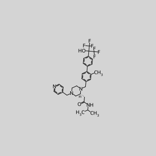 Cc1cc(CN2CCN(Cc3ccncc3)C[C@H]2CC(=O)NC(C)C)ccc1-c1ccc(C(O)(C(F)(F)F)C(F)(F)F)cc1